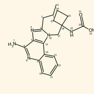 CCCc1nc2c(N)nc3ccccc3c2n1CC1(NC(=O)O)CCC1